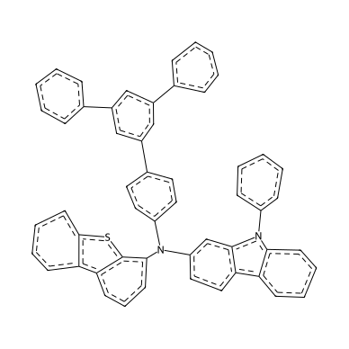 c1ccc(-c2cc(-c3ccccc3)cc(-c3ccc(N(c4ccc5c6ccccc6n(-c6ccccc6)c5c4)c4cccc5c4sc4ccccc45)cc3)c2)cc1